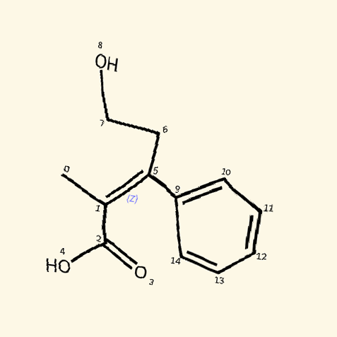 C/C(C(=O)O)=C(\CCO)c1ccccc1